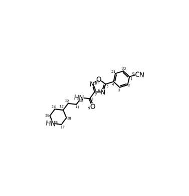 N#Cc1ccc(-c2nc(C(=O)NCCC3CCNCC3)no2)cc1